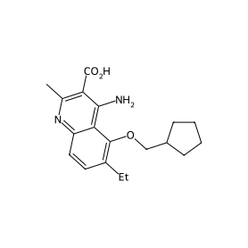 CCc1ccc2nc(C)c(C(=O)O)c(N)c2c1OCC1CCCC1